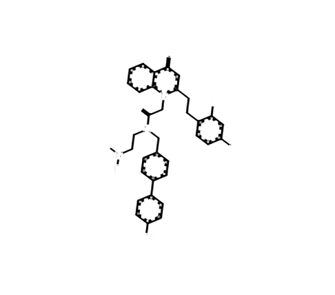 CCN(CC)CCN(Cc1ccc(-c2ccc(C(F)(F)F)cc2)cc1)C(=O)Cn1c(CCc2ccc(F)cc2F)cc(=O)c2ccccc21